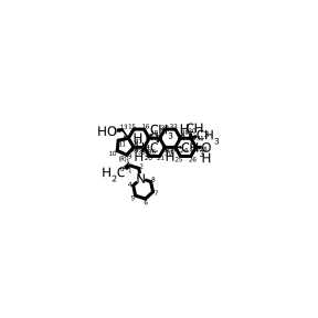 C=C(CN1CCCCC1)[C@@H]1CC[C@]2(CO)CC[C@]3(C)[C@H](CC[C@@H]4[C@@]5(C)CCC(O)C(C)(C)[C@@H]5CC[C@]43C)[C@@H]12